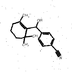 CC1=C(C(O)c2ccc(C#N)cc2)C(C)(C)CCC1